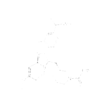 CNC(=O)c1ccc(-c2nc3cc([S@@+](C)[O-])ccn3c2C[C@H]2CN(C(=O)OC)CCO2)c(F)c1